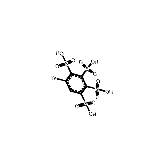 O=S(=O)(O)c1c[c]([Fe])c(S(=O)(=O)O)c(S(=O)(=O)O)c1S(=O)(=O)O